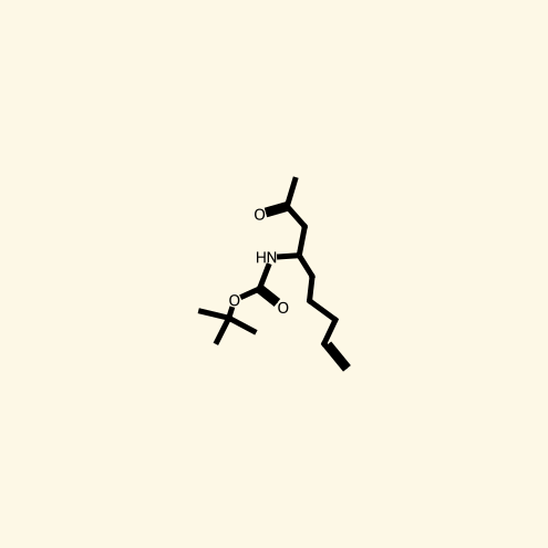 C=CCCCC(CC(C)=O)NC(=O)OC(C)(C)C